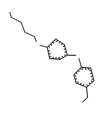 CCCCCOc1ccc(Oc2ccc(CCl)cc2)cc1